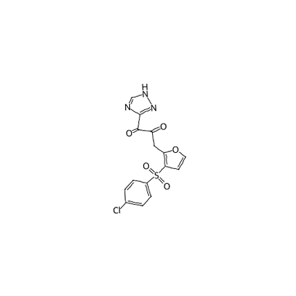 O=C(Cc1occc1S(=O)(=O)c1ccc(Cl)cc1)C(=O)c1nc[nH]n1